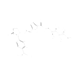 CCCCC[C@H](O)c1ccc(N2C(=O)CC[C@@H]2CCCc2ccc(C(=O)OC[C@H](O)[C@@H](O)[C@@H](O)[C@@H](O)CO)s2)cc1